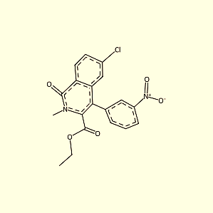 CCOC(=O)c1c(-c2cccc([N+](=O)[O-])c2)c2cc(Cl)ccc2c(=O)n1C